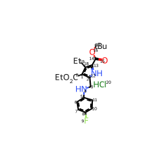 CCOC(=O)c1c(CNc2ccc(F)cc2)[nH]c(C(=O)OC(C)(C)C)c1CC.Cl